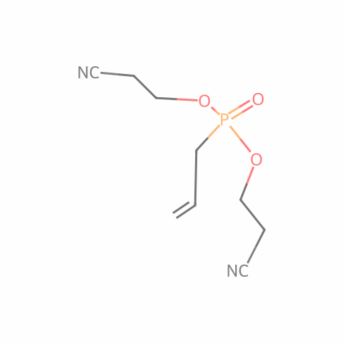 C=CCP(=O)(OCCC#N)OCCC#N